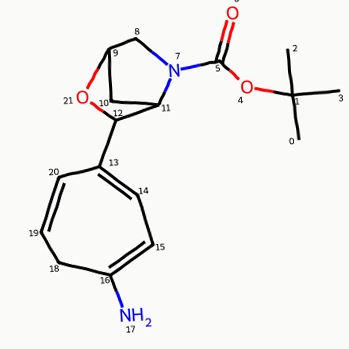 CC(C)(C)OC(=O)N1CC2CC1C(C1=CC=C(N)CC=C1)O2